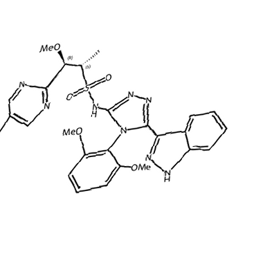 COc1cccc(OC)c1-n1c(NS(=O)(=O)[C@@H](C)[C@H](OC)c2ncc(C)cn2)nnc1-c1n[nH]c2ccccc12